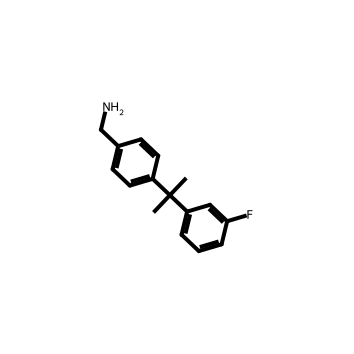 CC(C)(c1ccc(CN)cc1)c1cccc(F)c1